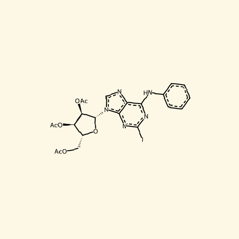 CC(=O)OC[C@H]1O[C@@H](n2cnc3c(Nc4ccccc4)nc(I)nc32)[C@H](OC(C)=O)[C@@H]1OC(C)=O